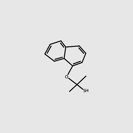 CC(C)(S)Oc1cccc2ccccc12